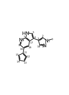 Cn1cc(-c2c[nH]c3ncc(C4=C=CC=C4)cc23)cn1